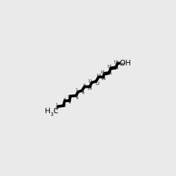 CCCCCCCCCCCCCCC/C=C/C=C/CO